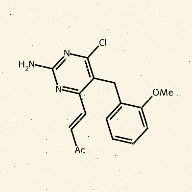 COc1ccccc1Cc1c(Cl)nc(N)nc1/C=C/C(C)=O